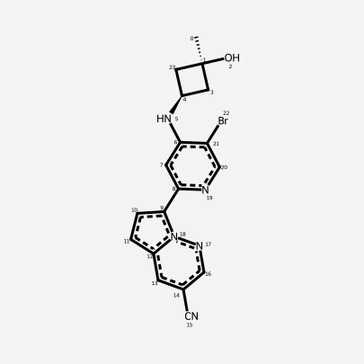 C[C@]1(O)C[C@@H](Nc2cc(-c3ccc4cc(C#N)cnn34)ncc2Br)C1